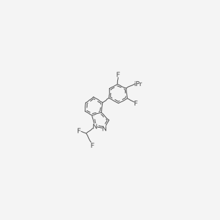 CC(C)c1c(F)cc(-c2cccc3c2cnn3C(F)F)cc1F